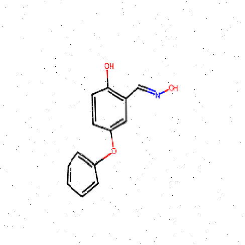 O/N=C/c1cc(Oc2ccccc2)ccc1O